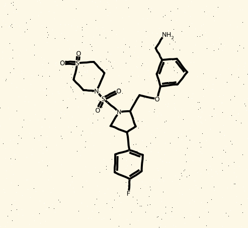 NCc1cccc(OCC2CC(c3ccc(F)cc3)CN2S(=O)(=O)N2CCS(=O)(=O)CC2)c1